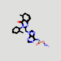 Cc1ccccc1-n1c(Cn2cnc3c(N=[SH](=O)ON)ncnc32)nc2cccc(C)c2c1=O